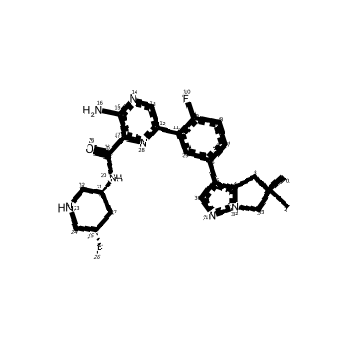 CC1(C)Cc2c(-c3ccc(F)c(-c4cnc(N)c(C(=O)N[C@@H]5CNC[C@@H](F)C5)n4)c3)cnn2C1